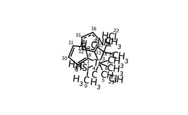 C[SiH](C)[Ti]([CH3])([CH3])([CH3])([CH3])([C]1=CC=CC1)([c]1ccc[nH]1)[C](C)(C)C.Cl.Cl